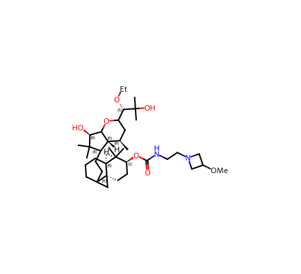 CCO[C@@H](C1C[C@@H](C)[C@H]2C(O1)[C@H](O)C(C)(C)[C@]2(C)CCC12CCC[C@H]3C(C)(C)[C@@H](OC(=O)NCCN4CC(OC)C4)CC[C@@]31C2)C(C)(C)O